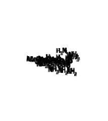 COc1ccc(NC(=O)[C@H](CCCCN)NC(=O)c2cc(NC(=O)[C@H](CCCCN)NC(=O)c3cc(NC(=O)[C@H](CCCCN)NC(=O)c4cccc(N(C)C(=O)[C@@H](N)CCCCN)c4)ccc3OC)ccc2OC)cc1C(N)=O